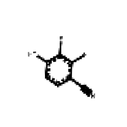 N#Cc1ccc(O)c(F)c1F